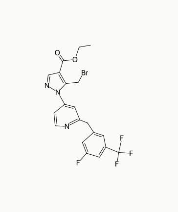 CCOC(=O)c1cnn(-c2ccnc(Cc3cc(F)cc(C(F)(F)F)c3)c2)c1CBr